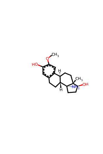 COc1cc2c(cc1O)CC[C@@H]1[C@@H]2CC[C@]2(C)[C@@H](O)CC[C@@]12N